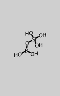 OB(O)O[Si](O)(O)O